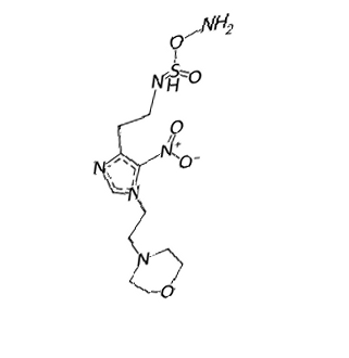 NO[SH](=O)=NCCc1ncn(CCN2CCOCC2)c1[N+](=O)[O-]